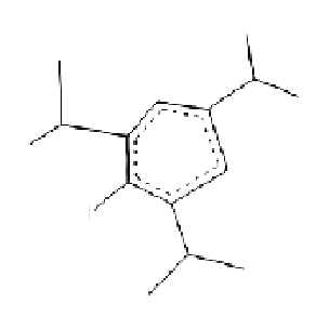 CC(C)c1cc(C(C)C)c(I)c(C(C)C)c1